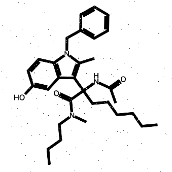 CCCCCCC(NC(C)=O)(C(=O)N(C)CCCC)c1c(C)n(Cc2ccccc2)c2ccc(O)cc12